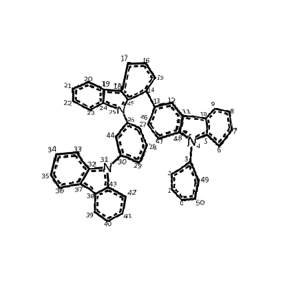 c1ccc(-n2c3ccccc3c3cc(-c4cccc5c6ccccc6n(-c6cccc(-n7c8ccccc8c8ccccc87)c6)c45)ccc32)cc1